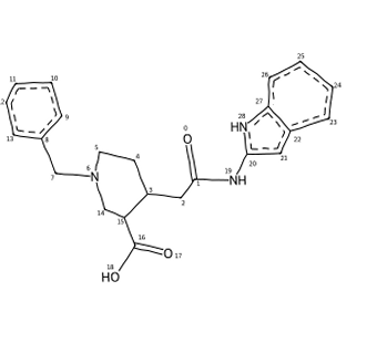 O=C(CC1CCN(Cc2ccccc2)CC1C(=O)O)Nc1cc2ccccc2[nH]1